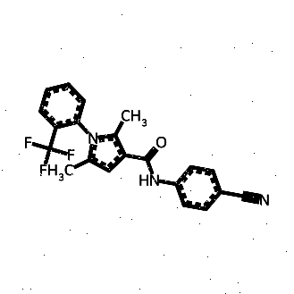 Cc1cc(C(=O)Nc2ccc(C#N)cc2)c(C)n1-c1ccccc1C(F)(F)F